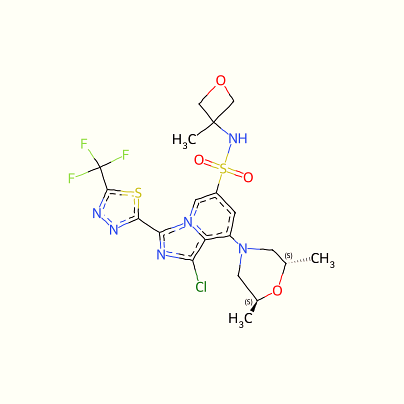 C[C@H]1CN(c2cc(S(=O)(=O)NC3(C)COC3)cn3c(-c4nnc(C(F)(F)F)s4)nc(Cl)c23)C[C@H](C)O1